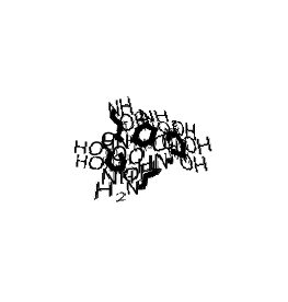 NCCCNC[C@H]1O[C@H](OC2[C@@H](N)C[C@@H](NC(=O)[C@@H](O)CN)[C@H](O[C@H]3O[C@H](CO)[C@@H](O)[C@H](N)[C@H]3O)[C@H]2O)[C@H](O)[C@@H](O)[C@@H]1O